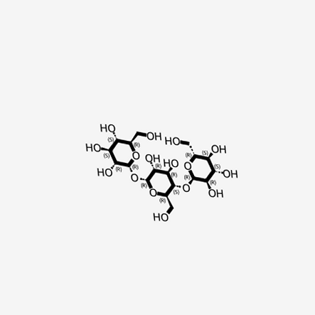 OC[C@H]1O[C@H](O[C@H]2O[C@H](CO)[C@@H](O[C@H]3O[C@H](CO)[C@@H](O)[C@H](O)[C@H]3O)[C@H](O)[C@H]2O)[C@H](O)[C@@H](O)[C@@H]1O